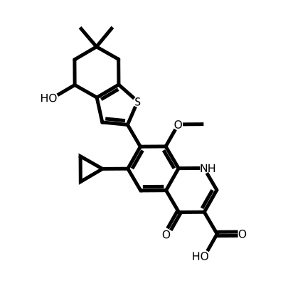 COc1c(-c2cc3c(s2)CC(C)(C)CC3O)c(C2CC2)cc2c(=O)c(C(=O)O)c[nH]c12